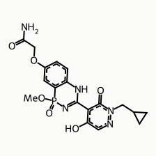 COP1(=O)N=C(c2c(O)cnn(CC3CC3)c2=O)Nc2ccc(OCC(N)=O)cc21